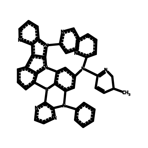 CC1C=CC(N(c2cc3c4c(c2)-n2c5c(cccc5c5c6ncccc6n(-c6ccccn6)c52)B4c2nccnc2N3c2ccccc2)c2ccccn2)=NC1